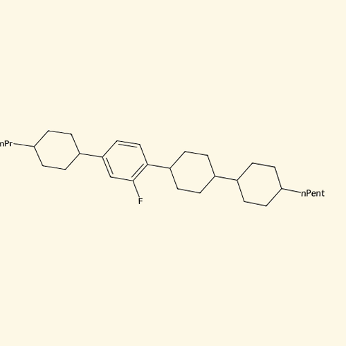 CCCCCC1CCC(C2CCC(c3ccc(C4CCC(CCC)CC4)cc3F)CC2)CC1